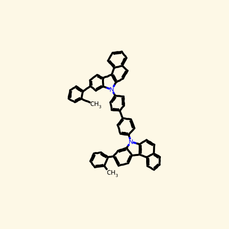 Cc1ccccc1-c1ccc2c3c4ccccc4ccc3n(-c3ccc(-c4ccc(-n5c6cc(-c7ccccc7C)ccc6c6c7ccccc7ccc65)cc4)cc3)c2c1